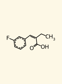 CCC(=Cc1cccc(F)c1)C(=O)O